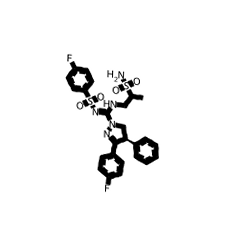 CC(CN/C(=N\S(=O)(=O)c1ccc(F)cc1)N1C[C@@H](c2ccccc2)C(c2ccc(F)cc2)=N1)S(N)(=O)=O